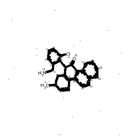 CC1C=CC2=C(C1)C(c1c(Cl)cccc1CN)C(=O)c1c2ccc2ccccc12